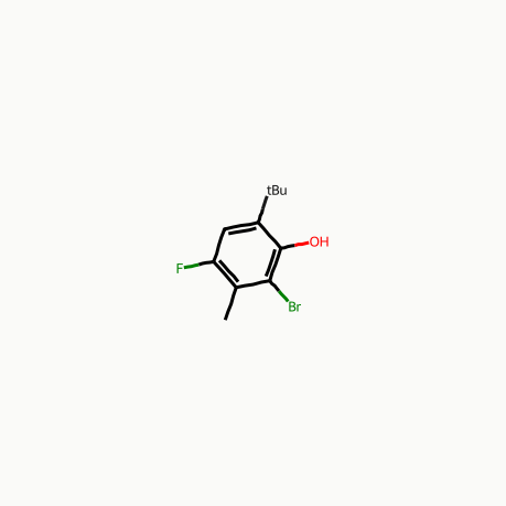 Cc1c(F)cc(C(C)(C)C)c(O)c1Br